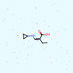 CC/C(=C/NC1CC1)C(=O)O